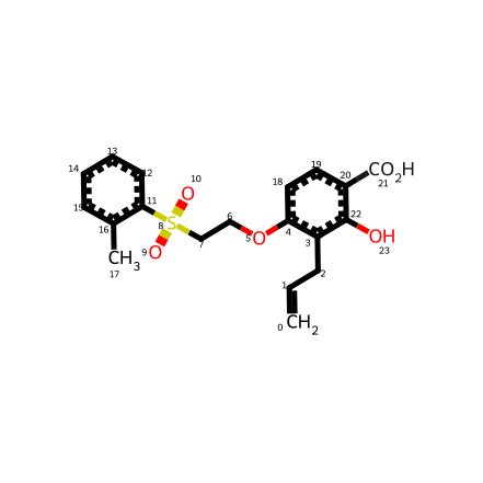 C=CCc1c(OCCS(=O)(=O)c2ccccc2C)ccc(C(=O)O)c1O